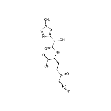 Cn1cnc([C@H](O)C(=O)N[C@@H](CCC(=O)C=[N+]=[N-])C(=O)O)c1